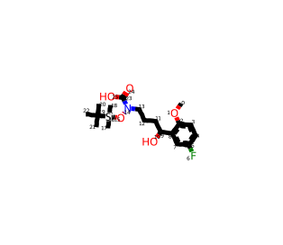 COc1ccc(F)cc1C(O)CCCN(O[Si](C)(C)C(C)(C)C)C(=O)O